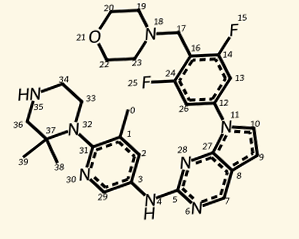 Cc1cc(Nc2ncc3ccn(-c4cc(F)c(CN5CCOCC5)c(F)c4)c3n2)cnc1N1CCNCC1(C)C